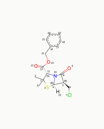 CC1(C)S[C@@H]2[C@H](CCl)C(=O)N2[C@H]1C(=O)OCc1ccccc1